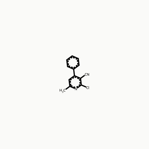 Cc1cc(-c2ccccc2)c(C#N)c(Cl)n1